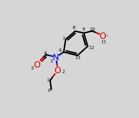 CCON(C=O)c1ccc(C[O])cc1